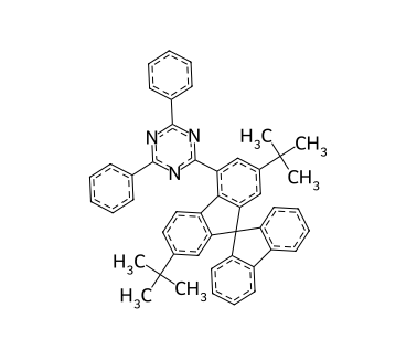 CC(C)(C)c1ccc2c(c1)C1(c3ccccc3-c3ccccc31)c1cc(C(C)(C)C)cc(-c3nc(-c4ccccc4)nc(-c4ccccc4)n3)c1-2